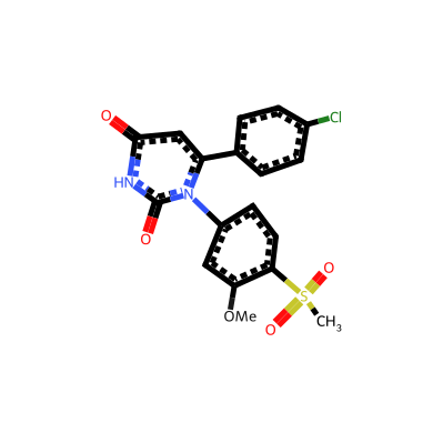 COc1cc(-n2c(-c3ccc(Cl)cc3)cc(=O)[nH]c2=O)ccc1S(C)(=O)=O